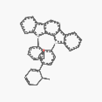 CC1CC=CC=C1c1ccc(-n2c3ccccc3c3ccc4c5ccccc5n(-c5ccccc5)c4c32)cc1